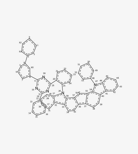 c1ccc(-c2cccc(-c3nc(-c4ccccc4)nc(-c4ccccc4-n4c5ccccc5c5ccc6c7ccc8c9ccccc9n(-c9ccccc9)c8c7sc6c54)n3)c2)cc1